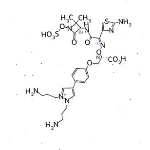 CC1(C)[C@H](NC(=O)/C(=N\O[C@@H](COc2ccc(-c3cn(CCCN)[n+](CCCN)c3)cc2)C(=O)O)c2csc(N)n2)C(=O)N1OS(=O)(=O)O